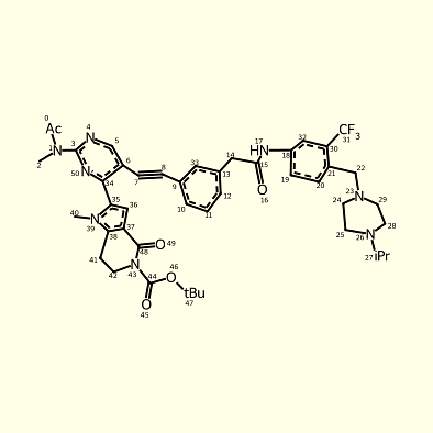 CC(=O)N(C)c1ncc(C#Cc2cccc(CC(=O)Nc3ccc(CN4CCN(C(C)C)CC4)c(C(F)(F)F)c3)c2)c(-c2cc3c(n2C)CCN(C(=O)OC(C)(C)C)C3=O)n1